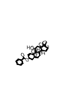 C[C@]12C=CC(OC(=O)c3ccccc3)=CC1=CC[C@H]1[C@@H]3CCC(=O)[C@@]3(C)C[C@H](O)C12F